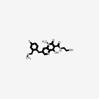 COCc1cc(F)ccc1Cc1cnc2c(O)c(C(=O)NCCO)c(=O)n(C)c2c1